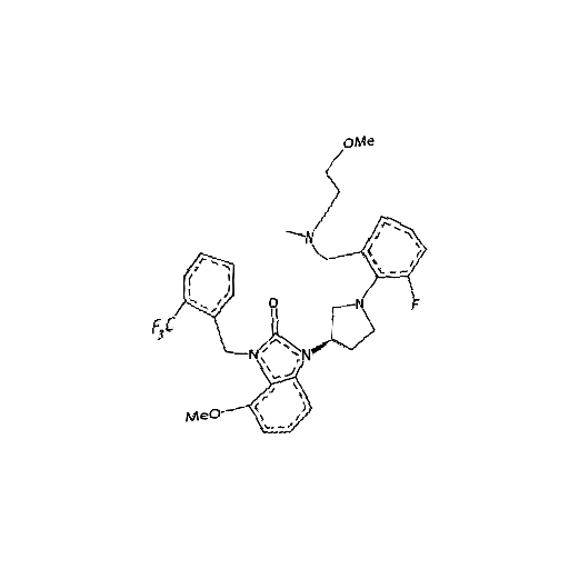 COCCN(C)Cc1cccc(F)c1N1CC[C@@H](n2c(=O)n(Cc3ccccc3C(F)(F)F)c3c(OC)cccc32)C1